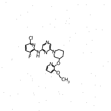 CCOc1cccnc1OC1CCCN(c2cncc(Nc3nc(Cl)ccc3F)n2)C1